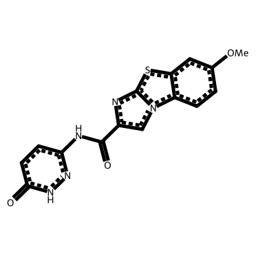 COc1ccc2c(c1)sc1nc(C(=O)Nc3ccc(=O)[nH]n3)cn12